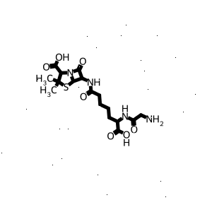 CC1(C)SC2C(NC(=O)CCCCC(NC(=O)CN)C(=O)O)C(=O)N2C1C(=O)O